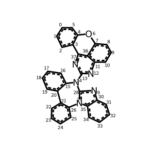 c1ccc2c(c1)Oc1cccc3nc(N4c5ccccc5-c5ccccc5-n5c4nc4ccccc45)nc-2c13